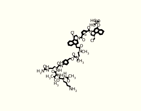 CC(=O)N[C@@H](CCCCN)C(=O)N[C@H](C(=O)N[C@@H](CCCNC(N)=O)C(=O)Nc1ccc(COC(=O)N(C)CCN(C)C(=O)Cc2cc3c(c4ccccc24)[C@H](CCl)CN3C(=O)c2ccc(C(=O)N3C[C@@H](CCl)c4c3cc(OP(=O)(O)O)c3ccccc43)s2)cc1)C(C)C